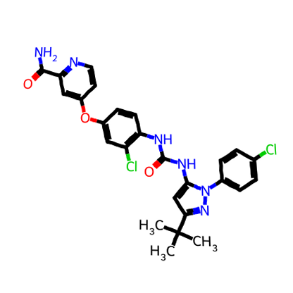 CC(C)(C)c1cc(NC(=O)Nc2ccc(Oc3ccnc(C(N)=O)c3)cc2Cl)n(-c2ccc(Cl)cc2)n1